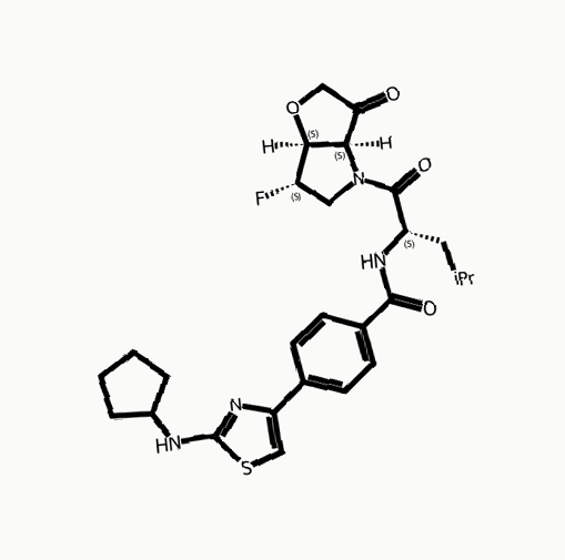 CC(C)C[C@H](NC(=O)c1ccc(-c2csc(NC3CCCC3)n2)cc1)C(=O)N1C[C@H](F)[C@H]2OCC(=O)[C@H]21